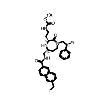 CC[C@H](CN1CC[C@@H](CNC(=O)c2ccc3cc(CI)ccc3c2)N[C@@H](CCNC(=O)OC(C)(C)C)C1=O)c1ccccc1